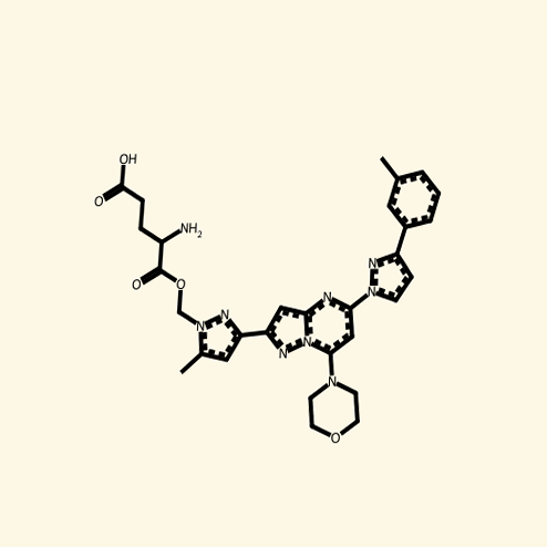 Cc1cccc(-c2ccn(-c3cc(N4CCOCC4)n4nc(-c5cc(C)n(COC(=O)C(N)CCC(=O)O)n5)cc4n3)n2)c1